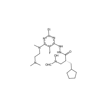 CCc1nc(NNC(=O)[C@H](CC2CCCC2)CN(O)C=O)c(F)c(N(C)CCN(C)C)n1